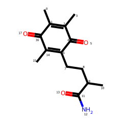 CC1=C(C)C(=O)C(CCC(C)C(N)=O)=C(C)C1=O